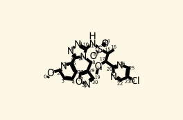 COc1cccc(-c2nnc(NS(=O)(=O)C(C)C(OC)c3ncc(Cl)cn3)n2Cc2cnoc2)n1